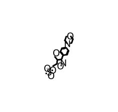 CS(=O)(=O)OCC1ON=C2c3ccc(N4CCOCC4)cc3OCC21